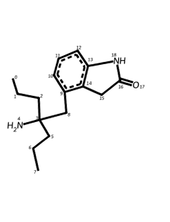 CCCC(N)(CCC)Cc1cccc2c1CC(=O)N2